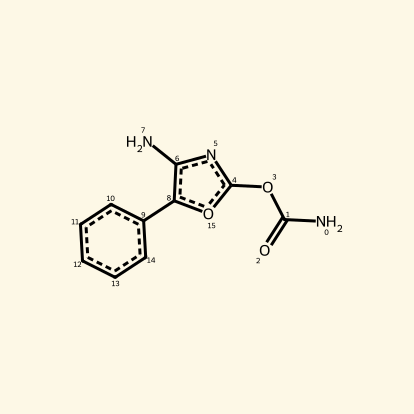 NC(=O)Oc1nc(N)c(-c2ccccc2)o1